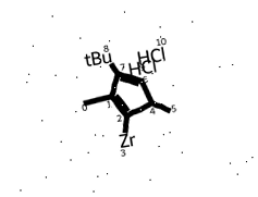 CC1=[C]([Zr])C(C)C=C1C(C)(C)C.Cl.Cl